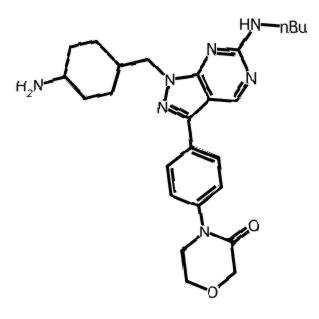 CCCCNc1ncc2c(-c3ccc(N4CCOCC4=O)cc3)nn(CC3CCC(N)CC3)c2n1